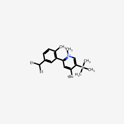 CCC(CC)c1ccc(C)c(-c2cc(C(C)(C)C)c([Si](C)(C)C)c[n+]2C)c1